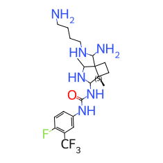 CC1NC(NC(=O)Nc2ccc(F)c(C(F)(F)F)c2)[C@@]2(C)CCC12C(N)NCCCCN